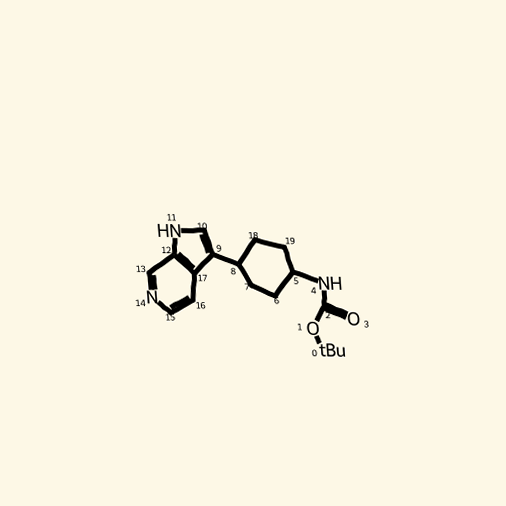 CC(C)(C)OC(=O)NC1CCC(c2c[nH]c3cnccc23)CC1